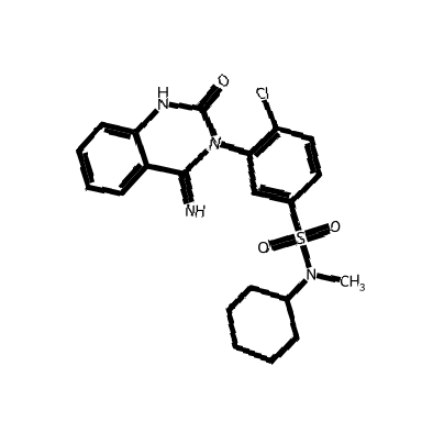 CN(C1CCCCC1)S(=O)(=O)c1ccc(Cl)c(-n2c(=O)[nH]c3ccccc3c2=N)c1